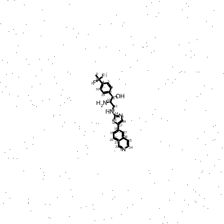 CC(F)(F)c1ccc([C@H](O)[C@H](N)CNc2ncc(-c3ccc4cnccc4c3)s2)cc1